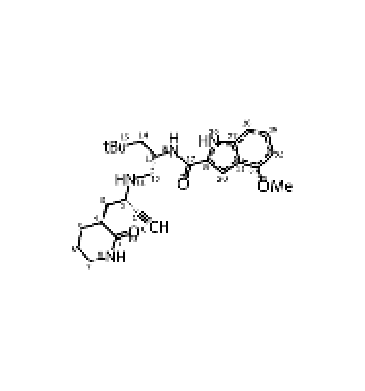 C#C[C@H](C[C@@H]1CCCNC1=O)NC[C@H](CC(C)(C)C)NC(=O)c1cc2c(OC)cccc2[nH]1